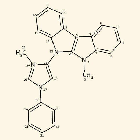 Cn1c2ccccc2c2c3ccccc3n(-c3cn(-c4ccccc4)c[n+]3C)c21